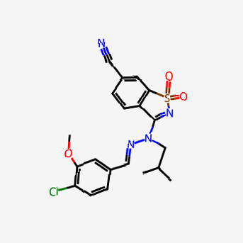 COc1cc(/C=N/N(CC(C)C)C2=NS(=O)(=O)c3cc(C#N)ccc32)ccc1Cl